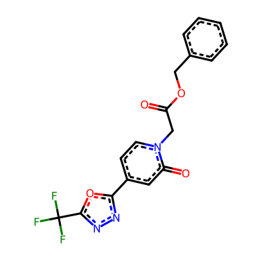 O=C(Cn1ccc(-c2nnc(C(F)(F)F)o2)cc1=O)OCc1ccccc1